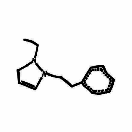 CCN1CC=CN1CCc1ccccc1